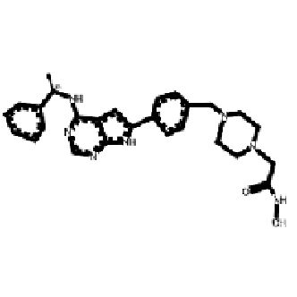 C[C@@H](Nc1ncnc2[nH]c(-c3ccc(CN4CCN(CC(=O)NO)CC4)cc3)cc12)c1ccccc1